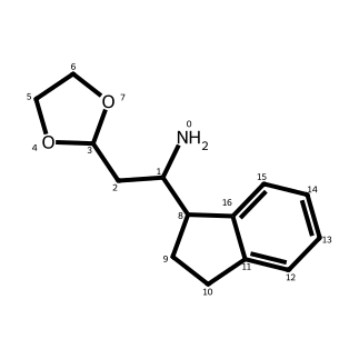 NC(CC1OCCO1)C1CCc2ccccc21